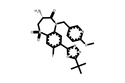 COc1ccc(CN2C(=O)[C@@H](N)CS(=O)(=O)c3cc(F)c(-c4nnc(C(C)(C)C)o4)cc32)cn1